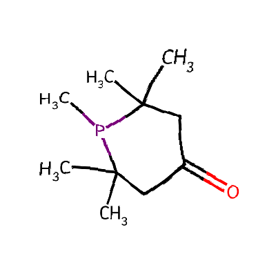 CP1C(C)(C)CC(=O)CC1(C)C